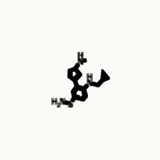 CNC1C=CC(c2cc(SN)ccc2NCC2CC2)=C1